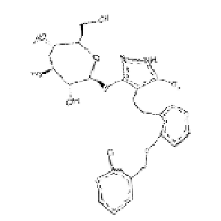 OC[C@H]1O[C@@H](Oc2n[nH]c(C(F)(F)F)c2Cc2ccccc2OCc2ccccc2Cl)[C@H](O)[C@@H](O)[C@@H]1O